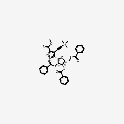 COC(=O)c1n[nH]c([C@@H]2O[C@H](COC(=O)c3ccccc3)[C@@H](OC(=O)c3ccccc3)[C@H]2OC(=O)c2ccccc2)c1C#C[Si](C)(C)C